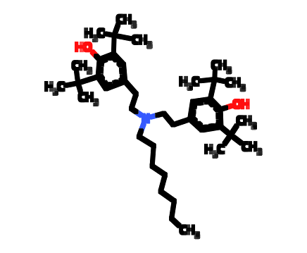 CCCCCCCCN(CCc1cc(C(C)(C)C)c(O)c(C(C)(C)C)c1)CCc1cc(C(C)(C)C)c(O)c(C(C)(C)C)c1